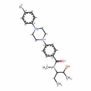 CCC(C(C)O)N(C)C(=O)c1ccc(N2CCN(c3ccc(Br)cc3)CC2)cc1